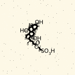 C[C@H](CCC(=O)OCCS(=O)(=O)O)[C@H]1CCC2C3C(C[C@H](O)[C@@]21C)[C@@]1(C)CC[C@@H](O)C[C@H]1C[C@H]3O